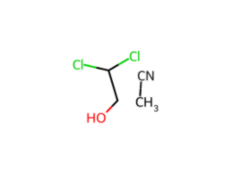 CC#N.OCC(Cl)Cl